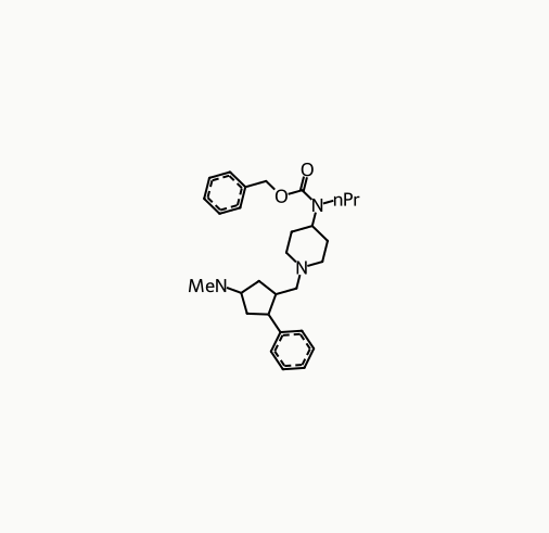 CCCN(C(=O)OCc1ccccc1)C1CCN(CC2CC(NC)CC2c2ccccc2)CC1